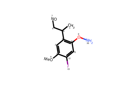 COc1cc(C(C)CN=O)c(ON)cc1I